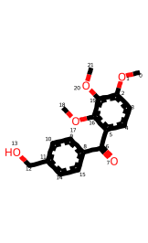 COc1ccc(C(=O)c2ccc(CO)cc2)c(OC)c1OC